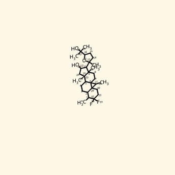 CC1C2CCC3C4(CCC5(C)C(C6(C)CCC(C(C)(C)O)O6)C(O)C[C@@]35C)C(C)C24CCC1(F)F